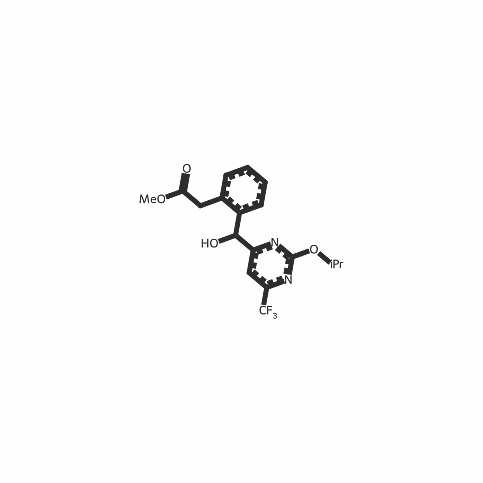 COC(=O)Cc1ccccc1C(O)c1cc(C(F)(F)F)nc(OC(C)C)n1